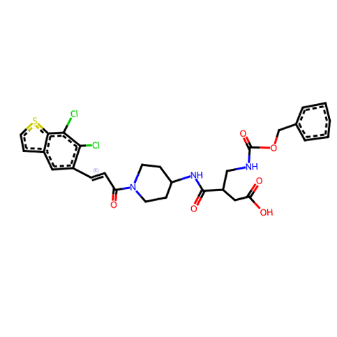 O=C(O)CC(CNC(=O)OCc1ccccc1)C(=O)NC1CCN(C(=O)/C=C/c2cc3ccsc3c(Cl)c2Cl)CC1